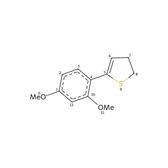 COc1ccc(C2=CCCS2)c(OC)c1